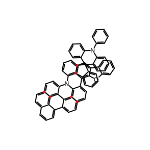 c1ccc(N2c3ccccc3C3(c4ccccc4-c4c(N(c5ccccc5-c5ccccc5-c5cccc6ccccc56)c5ccccc5-c5cccc6c5oc5ccccc56)cccc43)c3ccccc32)cc1